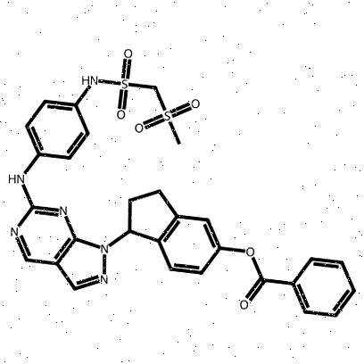 CS(=O)(=O)CS(=O)(=O)Nc1ccc(Nc2ncc3cnn(C4CCc5cc(OC(=O)c6ccccc6)ccc54)c3n2)cc1